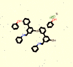 CC(C)(C)c1cc(C=Nc2ccccc2)cc(-c2ccccc2)c1.CC(C)(C)c1cc(C=Nc2ccccc2)cc(-c2ccccc2)c1.Cl.Cl.Oc1ccccc1.Oc1ccccc1.[Ti]